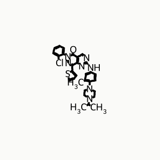 Cc1cc(Nc2ncc3c(=O)n(-c4ccccc4Cl)nc(-c4cccs4)c3n2)ccc1N1CCN(C(C)C)CC1